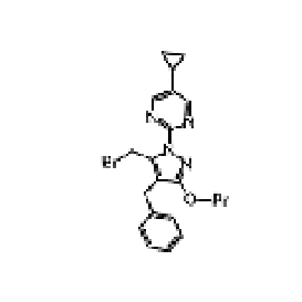 CC(C)Oc1nn(-c2ncc(C3CC3)cn2)c(CBr)c1Cc1ccccc1